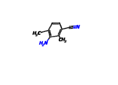 Cc1ccc(C#N)c(C)c1N